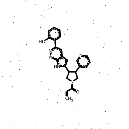 C=CC(=O)N1CC(c2cccnc2)C(c2cc3cc(-c4ccccc4O)nnc3[nH]2)C1